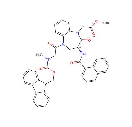 CCCCOC(=O)CN1C(=O)[C@@H](NC(=O)c2cccc3ccccc23)CN(C(=O)CN(C)C(=O)OCC2c3ccccc3-c3ccccc32)c2ccccc21